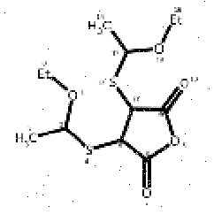 CCOC(C)SC1C(=O)OC(=O)C1SC(C)OCC